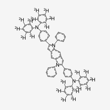 [2H]c1c([2H])c([2H])c(N(c2ccc(-c3cc4cc5c(cc(-c6ccc(N(c7c([2H])c([2H])c([2H])c([2H])c7[2H])c7c([2H])c([2H])c([2H])c([2H])c7[2H])cc6)n5-c5ccccc5)cc4n3-c3ccccc3)cc2)c2c([2H])c([2H])c([2H])c([2H])c2[2H])c([2H])c1[2H]